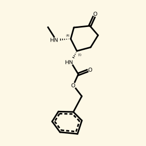 CN[C@@H]1CC(=O)CC[C@@H]1NC(=O)OCc1ccccc1